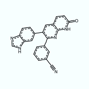 N#Cc1cccc(-c2nc3[nH]c(=O)ccc3cc2-c2ccc3nc[nH]c3c2)c1